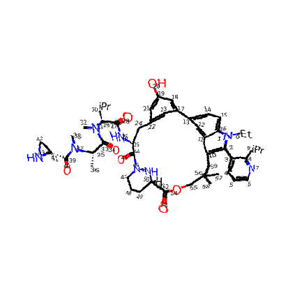 CCn1c(-c2cccnc2C(C)C)c2c3cc(ccc31)-c1cc(O)cc(c1)C[C@H](NC(=O)[C@H](C(C)C)N(C)C(=O)[C@H](C)N(C)C(=O)[C@H]1CN1)C(=O)N1CCC[C@H](N1)C(=O)OCC(C)(C)C2